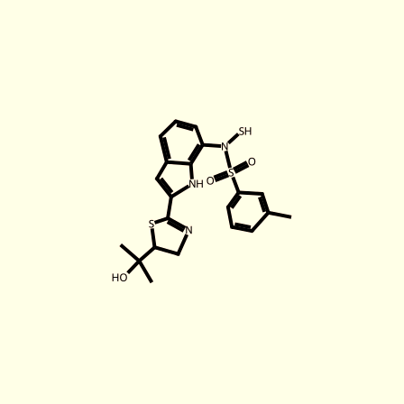 Cc1cccc(S(=O)(=O)N(S)c2cccc3cc(C4=NCC(C(C)(C)O)S4)[nH]c23)c1